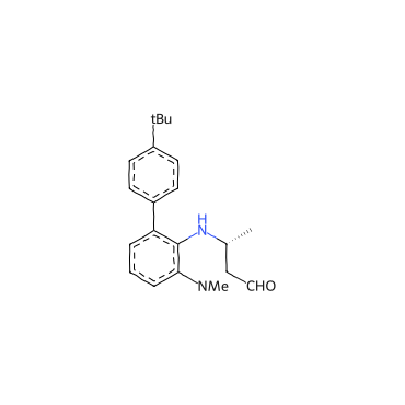 CNc1cccc(-c2ccc(C(C)(C)C)cc2)c1N[C@H](C)CC=O